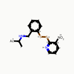 CC(=O)C(C)NCc1ccccc1SSc1ncccc1[N+](=O)[O-]